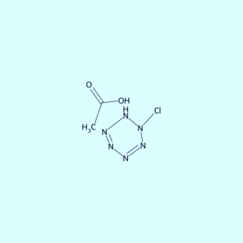 CC(=O)O.ClN1N=NN=NN1